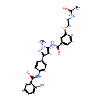 Cn1nc(-c2ccc(NC(=O)c3ccccc3Cl)cc2)cc1NC(=O)c1cccc(OCCNC(=O)C(C)(C)C)c1